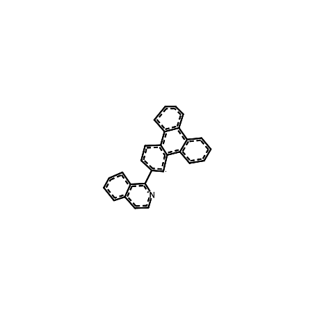 [c]1c(-c2nccc3ccccc23)ccc2c1c1ccccc1c1ccccc21